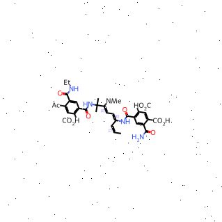 C\C=C/C(=C\C=C(/NC)C(C)(C)NC(=O)c1cc(C(=O)NCC)c(C(C)=O)cc1C(=O)O)NC(=O)c1cc(C(N)=O)c(C(=O)O)cc1C(=O)O